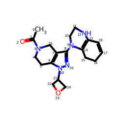 CC(=O)N1CCc2c(c(N3CCNC4=C3CCC=C4)nn2C2COC2)C1